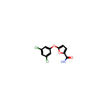 [NH]C(=O)c1ccc(Oc2cc(Cl)cc(Cl)c2)o1